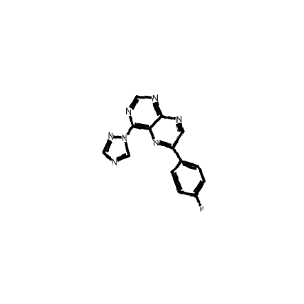 Fc1ccc(-c2cnc3ncnc(-n4cncn4)c3n2)cc1